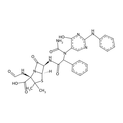 CC1(C)S[C@@H]2[C@H](NC(=O)C(c3ccccc3)N(C(N)=O)c3cnc(Nc4ccccc4)nc3O)C(=O)N2[C@@]1(NC=O)C(=O)O